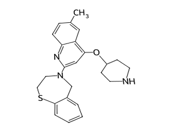 Cc1ccc2nc(N3CCSc4ccccc4C3)cc(OC3CCNCC3)c2c1